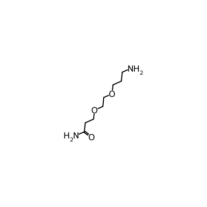 NCCCOCCOCCC(N)=O